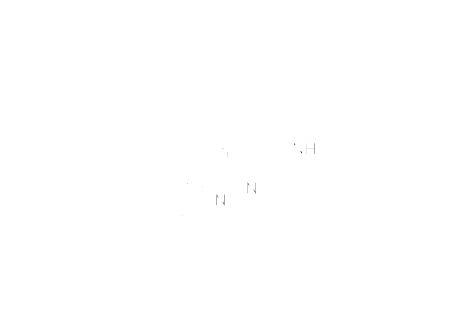 CC(C)(C)c1nnc(C2CCCN2)o1